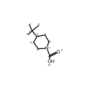 CC(C)(C)C1CCN(C(=O)O)CC1